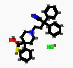 Cl.N#CC(CCN1CCC(C(O)=S)(c2ccccc2)CC1)(c1ccccc1)c1ccccc1